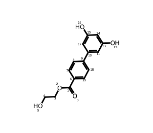 O=C(OCCO)c1ccc(-c2cc(O)cc(O)c2)cc1